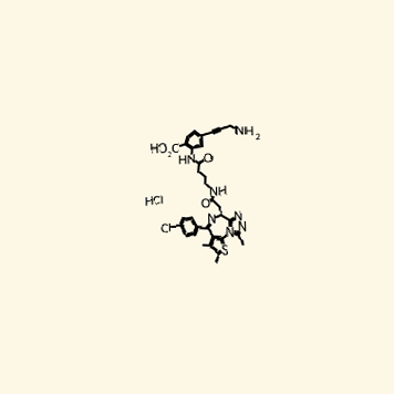 Cc1sc2c(c1C)C(c1ccc(Cl)cc1)=N[C@@H](CC(=O)NCCCC(=O)Nc1cc(C#CCN)ccc1C(=O)O)c1nnc(C)n1-2.Cl